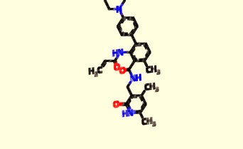 C=CC(=O)Nc1c(-c2ccc(N3CCOCC3)cc2)ccc(C)c1C(=O)NCc1c(C)cc(C)[nH]c1=O